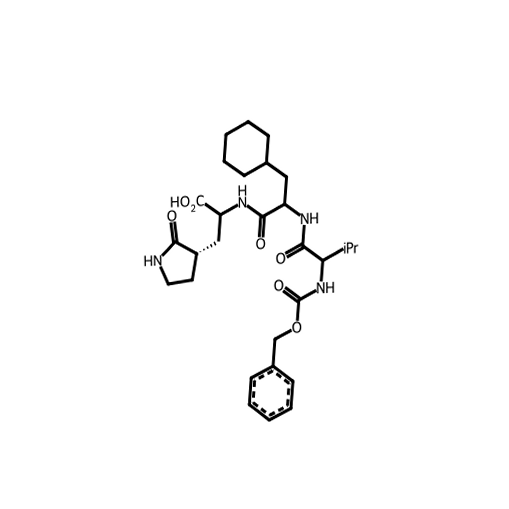 CC(C)C(NC(=O)OCc1ccccc1)C(=O)NC(CC1CCCCC1)C(=O)NC(C[C@@H]1CCNC1=O)C(=O)O